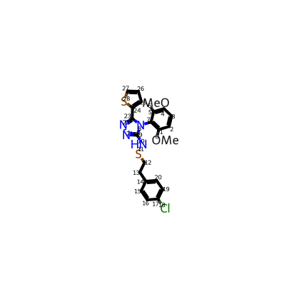 COc1cccc(OC)c1-n1c(NSCCc2ccc(Cl)cc2)nnc1-c1cccs1